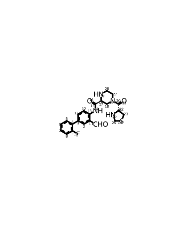 O=Cc1cc(-c2ccccc2F)ccc1NC(=O)[C@@H]1CN(C(=O)[C@@H]2CSCN2)CCN1